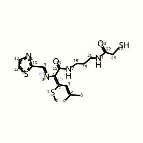 CS/C(C=C(C)C)=C(\N=C\c1nccs1)C(=O)NCCCNC(=O)CS